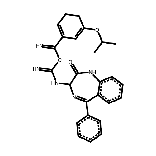 CC(C)OC1=CC(C(=N)OC(=N)NC2N=C(c3ccccc3)c3ccccc3NC2=O)=CCC1